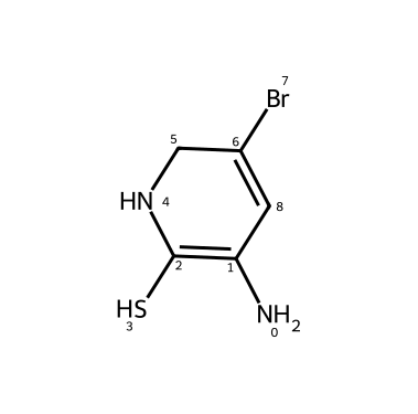 NC1=C(S)NCC(Br)=C1